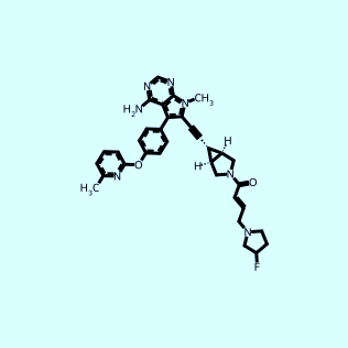 Cc1cccc(Oc2ccc(-c3c(C#C[C@@H]4[C@H]5CN(C(=O)/C=C/CN6CCC(F)C6)C[C@@H]45)n(C)c4ncnc(N)c34)cc2)n1